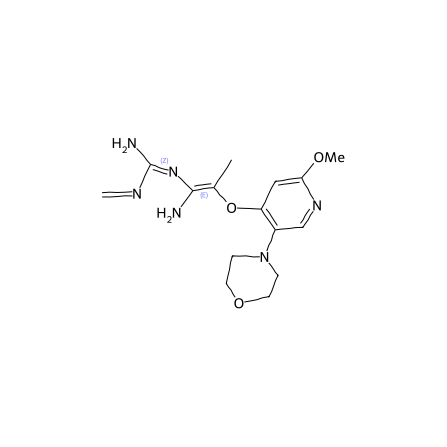 C=N/C(N)=N\C(N)=C(/C)Oc1cc(OC)ncc1N1CCOCC1